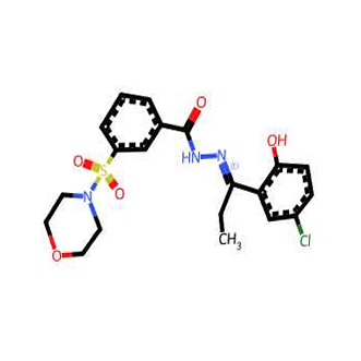 CC/C(=N\NC(=O)c1cccc(S(=O)(=O)N2CCOCC2)c1)c1cc(Cl)ccc1O